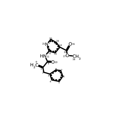 C=C(Cc1ccccc1)C(=O)Nc1cc(C(=O)OC)ccn1